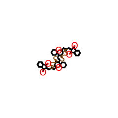 O=C1C(=Cc2cc3c(s2)-c2sc4c5c(sc4c2C2(CCCCC2)O3)-c2sc(C=C3C(=O)c4ccccc4C3=O)cc2OC52CCCCC2)C(=O)c2ccccc21